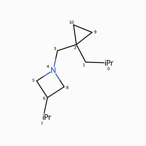 CC(C)CC1(CN2CC(C(C)C)C2)CC1